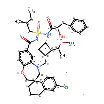 CC[C@H](C)CS(=O)(=NC(=O)c1ccc2c(c1)N(C[C@@H]1CC[C@H]1[C@H](C)OC)C[C@@]1(CCCc3cc(Cl)ccc31)CO2)NC(=O)[C@H](O)Cc1ccccc1